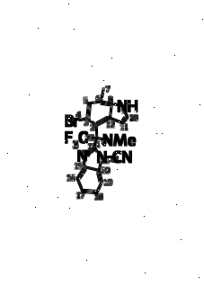 CNC(c1c(Br)cc(C)c2[nH]ccc12)(c1nc2ccccc2n1C#N)C(F)(F)F